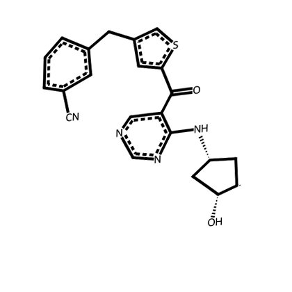 N#Cc1cccc(Cc2csc(C(=O)c3cncnc3N[C@@H]3C[CH][C@H](O)C3)c2)c1